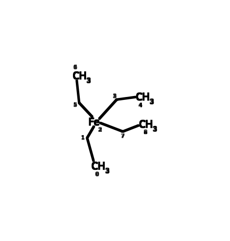 C[CH2][Fe]([CH2]C)([CH2]C)[CH2]C